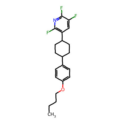 CCCCOc1ccc(C2CCC(c3cc(F)c(F)nc3F)CC2)cc1